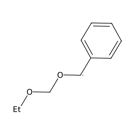 CCOCO[CH]c1ccccc1